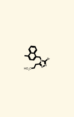 Cc1ccc(Cn2c(Br)nnc2CCC(=O)O)c2ccccc12